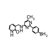 Bc1ccc(-c2nc(C)cc(NCc3ccc[nH]c3=O)n2)cc1